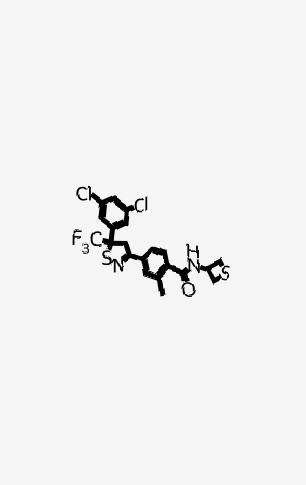 Cc1cc(C2=NSC(c3cc(Cl)cc(Cl)c3)(C(F)(F)F)C2)ccc1C(=O)NC1CSC1